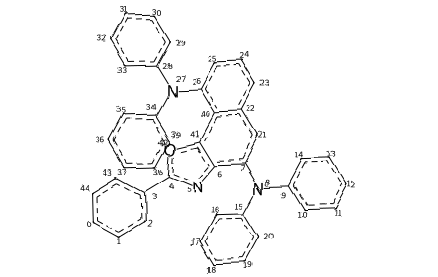 c1ccc(-c2nc3c(N(c4ccccc4)c4ccccc4)cc4cccc(N(c5ccccc5)c5ccccc5)c4c3o2)cc1